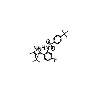 Cc1nnc(-c2ccc(F)cc2NS(=O)(=O)c2ccc(C(C)(C)C)cc2)n1C(C)C